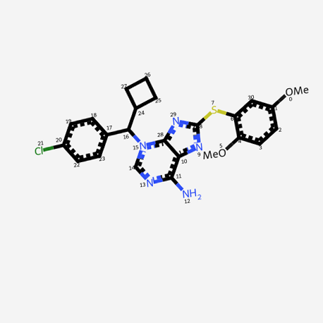 COc1ccc(OC)c(Sc2nc3c(N)ncn(C(c4ccc(Cl)cc4)C4CCC4)c-3n2)c1